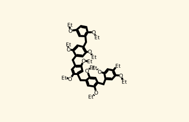 CCOc1ccc(OCC)c(Cc2cc(OCC)c(Cc3cc(OCC)c(Cc4cc(OCC)c(Cc5cc(OCC)c(CC)cc5OCC)cc4OCC)cc3OCC)cc2OCC)c1